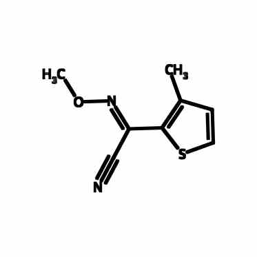 CON=C(C#N)c1sccc1C